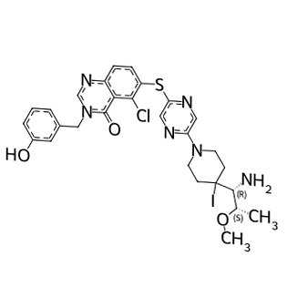 CO[C@@H](C)[C@@H](N)C1(I)CCN(c2cnc(Sc3ccc4ncn(Cc5cccc(O)c5)c(=O)c4c3Cl)cn2)CC1